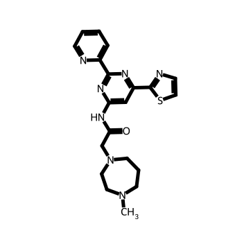 CN1CCCN(CC(=O)Nc2cc(-c3nccs3)nc(-c3ccccn3)n2)CC1